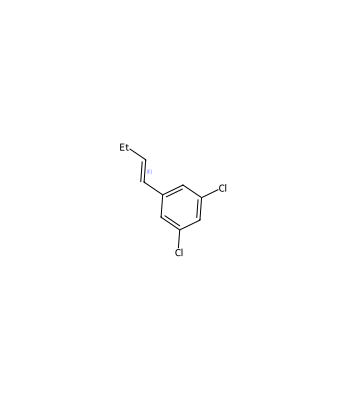 CC/C=C/c1cc(Cl)cc(Cl)c1